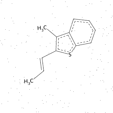 C/C=C/c1sc2ccccc2c1C